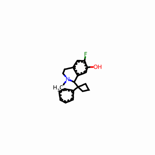 CN1CCc2cc(F)c(O)cc2C1C1(c2ccccc2)CCC1